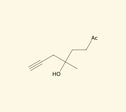 C#CCC(C)(O)CCC(C)=O